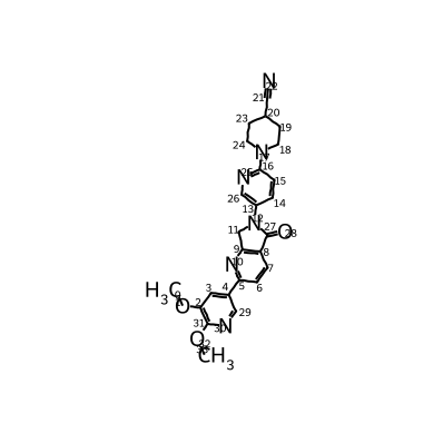 COc1cc(-c2ccc3c(n2)CN(c2ccc(N4CCC(C#N)CC4)nc2)C3=O)cnc1OC